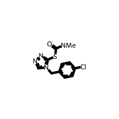 CNC(=O)Sc1nncn1Cc1ccc(Cl)cc1